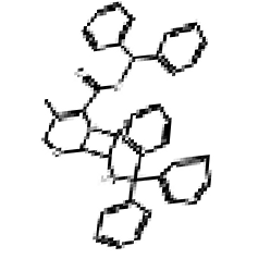 CC1=C(C(=O)OC(c2ccccc2)c2ccccc2)N2C(=O)C(NC(c3ccccc3)(c3ccccc3)c3ccccc3)C2OC1